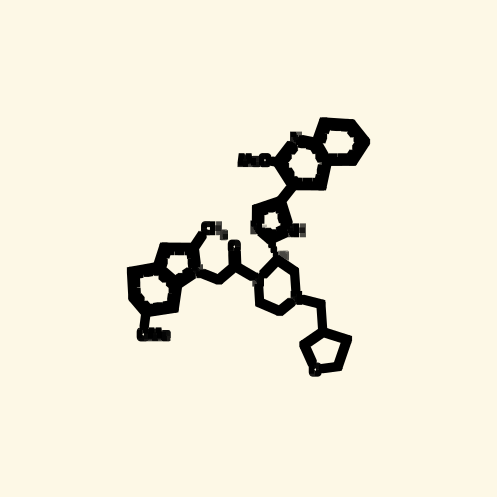 COc1ccc2cc(C)n(CC(=O)N3CCN(CC4CCOC4)C[C@H]3c3ncc(-c4cc5ccccc5nc4OC)[nH]3)c2c1